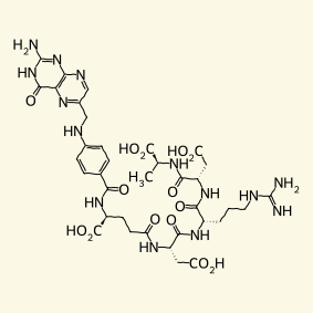 C[C@H](NC(=O)[C@H](CC(=O)O)NC(=O)[C@H](CCCNC(=N)N)NC(=O)[C@H](CC(=O)O)NC(=O)CC[C@H](NC(=O)c1ccc(NCc2cnc3nc(N)[nH]c(=O)c3n2)cc1)C(=O)O)C(=O)O